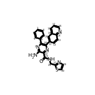 Nc1nc(-c2ccccc2)c(-c2ccc3ncccc3c2)nc1C(=O)NCc1nccs1